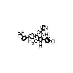 Cc1[nH]c(-c2ccc(Cl)cc2)c(NC(=O)c2cnccn2)c1CN1CCN(c2cccc(C(F)(F)F)c2)CC1